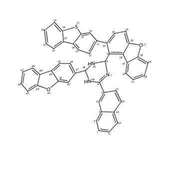 c1ccc2cc(C3=NC(c4c(-c5ccc6c(c5)sc5ccccc56)ccc5oc6ccccc6c45)NC(c4ccc5c(c4)oc4ccccc45)N3)ccc2c1